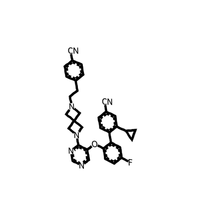 N#Cc1ccc(CCN2CC3(C2)CN(c2ncncc2Oc2ccc(F)cc2-c2ccc(C#N)cc2C2CC2)C3)cc1